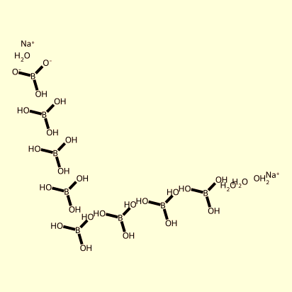 O.O.O.O.OB(O)O.OB(O)O.OB(O)O.OB(O)O.OB(O)O.OB(O)O.OB(O)O.[Na+].[Na+].[O-]B([O-])O